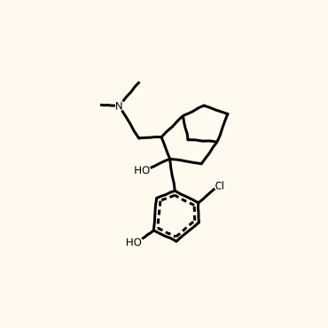 CN(C)CC1C2CCC(C2)CC1(O)c1cc(O)ccc1Cl